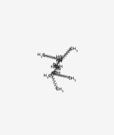 CCCCCCCCCCCC(C)CN(CCCCC1NC(=O)C(CCCCN(CC(O)CCCCCCCCCCC)CC(O)CCCCCCCCCCC)NC1=O)CC(O)CCCCCCCCCCC